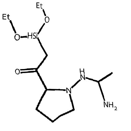 CCO[SiH](CC(=O)C1CCCN1NC(C)N)OCC